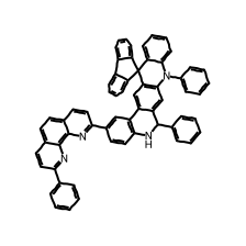 c1ccc(-c2ccc3ccc4ccc(-c5ccc6c(c5)-c5cc7c(cc5C(c5ccccc5)N6)N(c5ccccc5)c5ccccc5C75c6ccccc6-c6ccccc65)nc4c3n2)cc1